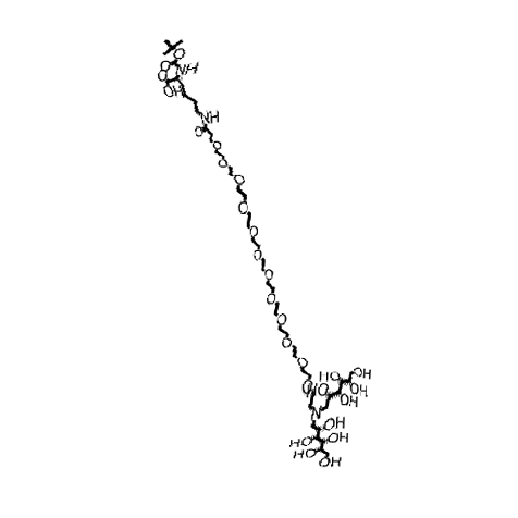 CC(C)(C)OC(=O)N[C@@H](CCCCNC(=O)CCOCCOCCOCCOCCOCCOCCOCCOCCOCCOCCOCCOCCN(C[C@H](O)[C@@H](O)[C@H](O)[C@H](O)CO)C[C@H](O)[C@@H](O)[C@H](O)[C@H](O)CO)C(=O)O